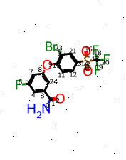 NC(=O)c1cc(F)cc(Oc2ccc(S(=O)(=O)C(F)(F)F)cc2Br)c1